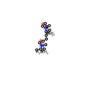 C[Si]1(C)c2ccccc2-c2c(-c3nc(-c4ccccc4)nc(-c4cccc5oc6cc(-c7cccc(-c8ccc(-c9ccc(-c%10nc(-c%11ccccc%11)nc(-c%11cccc%12oc%13cccc(-c%14ccccc%14)c%13c%11%12)n%10)c%10c9[Si](C)(C)c9ccccc9-%10)cc8)c7)ccc6c45)n3)cc(-c3ccccc3)cc21